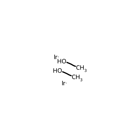 CO.CO.[Ir].[Ir]